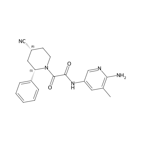 Cc1cc(NC(=O)C(=O)N2CC[C@@H](C#N)C[C@H]2c2ccccc2)cnc1N